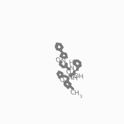 CCc1ccc2c(c1)C(NC[C@@H](O)[C@H](Cc1ccccc1)NC(=O)c1ccc(=O)n(C3CCC(c4ccccc4)C3)c1)CC1(CCCC1)O2